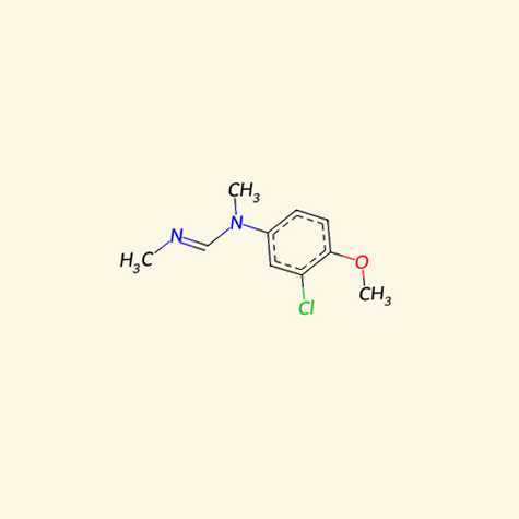 CN=CN(C)c1ccc(OC)c(Cl)c1